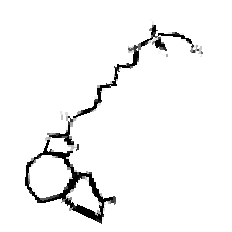 CCS(=O)(=O)NCCCCCNc1nc2c(s1)CCCc1ccc(F)cc1-2